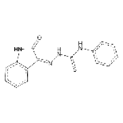 O=C1Nc2ccccc2/C1=N/NC(=S)Nc1ccccc1